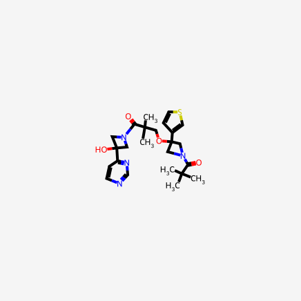 CC(C)(C)C(=O)N1CC(OCC(C)(C)C(=O)N2CC(O)(c3ccncn3)C2)(c2ccsc2)C1